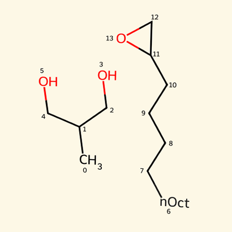 CC(CO)CO.CCCCCCCCCCCCC1CO1